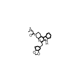 CN(C)CC(=O)N1CCc2c(nc(Cc3ccc4c(c3)OCO4)c3[nH]c4ccccc4c23)C1